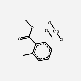 COC(=O)c1cc[c]cc1C.[Cl][Mg][Cl].[Li][Cl]